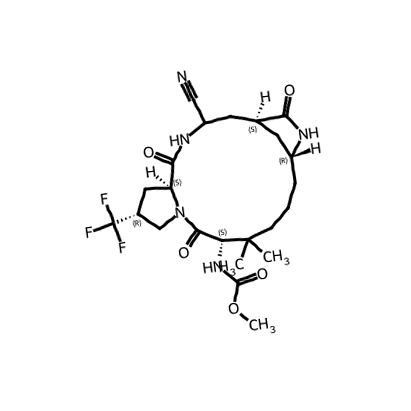 COC(=O)N[C@@H]1C(=O)N2C[C@H](C(F)(F)F)C[C@H]2C(=O)NC(C#N)C[C@@H]2C[C@@H](CCCC1(C)C)NC2=O